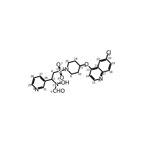 O=CN(O)C(CS(=O)(=O)N1CCC(Oc2ccnc3ccc(Cl)cc23)CC1)c1cccnc1